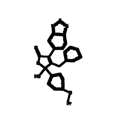 CC(C)Oc1ccc(C2(O)OC(=O)C(c3ccc4nsnc4c3)=C2Cc2ccccc2)cc1